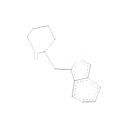 c1ccc2c(CC3CCCCN3)occ2c1